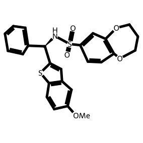 COc1ccc2sc([C@H](NS(=O)(=O)c3ccc4c(c3)OCCCO4)c3ccccc3)cc2c1